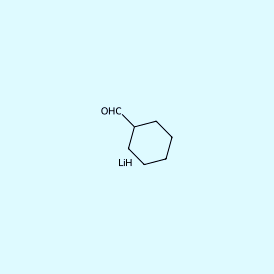 O=CC1CCCCC1.[LiH]